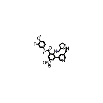 COc1ccc(N(C)C(=O)c2cc([N+](=O)[O-])cc(-c3cncc(C#N)c3)c2/N=C/C2CCCN2)cc1F